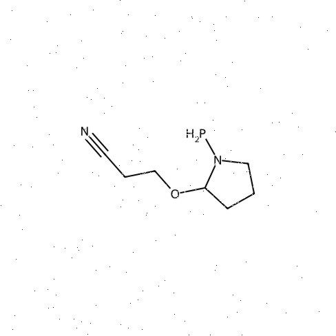 N#CCCOC1CCCN1P